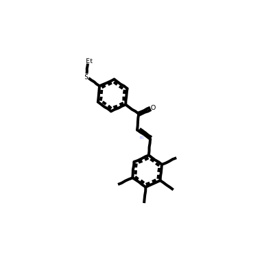 CCSc1ccc(C(=O)/C=C/c2cc(C)c(C)c(C)c2C)cc1